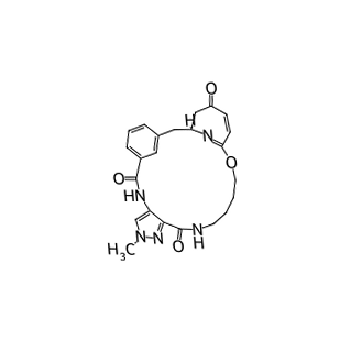 Cn1cc2c(n1)C(=O)NCCCCOC1=N[C@H](CC(=O)C=C1)Cc1cccc(c1)C(=O)N2